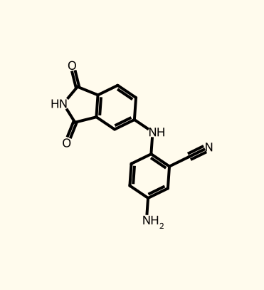 N#Cc1cc(N)ccc1Nc1ccc2c(c1)C(=O)NC2=O